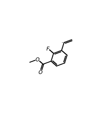 C=[C]c1cccc(C(=O)OC)c1F